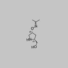 CC(C)=NO[C@H]1CN[C@H](CO)C1